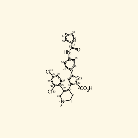 CN1CCC(c2cc(-c3ccc(NC(=O)c4cscn4)cc3)sc2C(=O)O)=C(c2ccc(Cl)cc2Cl)C1